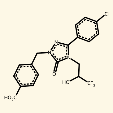 O=C(O)c1ccc(Cn2nc(-c3ccc(Cl)cc3)n(CC(O)C(F)(F)F)c2=O)cc1